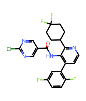 O=C(Nc1c(-c2cc(F)ccc2F)ccnc1C1CCC(F)(F)CC1)c1cnc(Cl)nc1